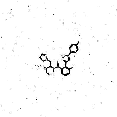 CO[C@H](CO)[C@@H](Cn1nccn1)NC(=O)c1cccc(F)c1-c1cc(-c2ccc(F)cc2)[nH]n1